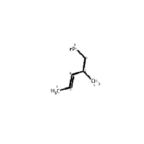 [CH2]CCCC(C)C=CC